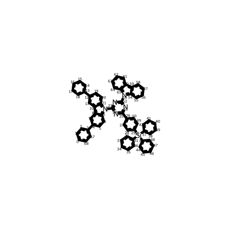 c1ccc(-c2ccc3c(c2)c2cc(-c4ccccc4)ccc2n3-c2nc(-c3ccc([Si](c4ccccc4)(c4ccccc4)c4ccccc4)cc3)nc(-n3c4ccccc4c4ccccc43)n2)cc1